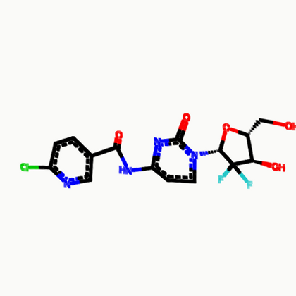 O=C(Nc1ccn([C@@H]2O[C@H](CO)[C@@H](O)C2(F)F)c(=O)n1)c1ccc(Cl)nc1